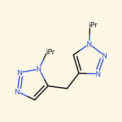 CC(C)n1cc(Cc2cnnn2C(C)C)nn1